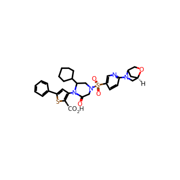 O=C(O)c1sc(-c2ccccc2)cc1N1C(=O)CN(S(=O)(=O)c2ccc(N3C[C@H]4CC3CO4)nc2)CC1C1CCCCC1